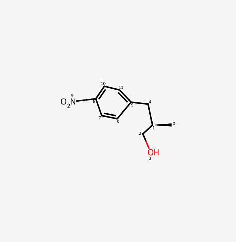 C[C@@H](CO)Cc1ccc([N+](=O)[O-])cc1